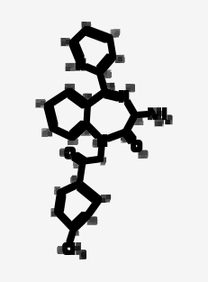 Cc1ccc(C(=O)CN2C(=O)C(N)N=C(c3ccccn3)c3ccccc32)cc1